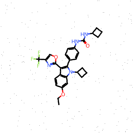 CCOc1ccc2c(-c3nc(C(F)(F)F)co3)c(-c3ccc(NC(=O)NC4CCC4)cc3)n(C3CCC3)c2c1